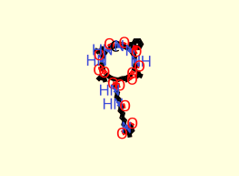 C/C=C(\C)[C@H]1OC(=O)[C@@H](C)NC(=O)[C@H](C(C)CC)NC(=O)CN(C)C(=O)[C@@H](Cc2ccccc2)N(C)C(=O)[C@H](C)NC(=O)[C@@H](CC(C)C)OC(=O)/C(C)=C/C[C@H](OC(=O)NCCCNC(=O)CCCCCN2C(=O)CC(C)C2=O)[C@@H]1C